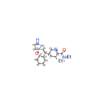 CCN(CC)C(=O)c1ccc(C2=CC3(CCNC3)Oc3ccccc32)cn1